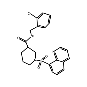 O=C(NCc1ccccc1Cl)C1CCCN(S(=O)(=O)c2cccc3cccnc23)C1